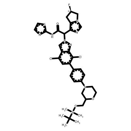 CC(C)(C)[Si](C)(C)OCC1CN(c2ccc(-c3cc(Cl)c4cn(C(C(=O)Nc5nccs5)c5ncn6c5C[C@@H](F)C6)nc4c3Cl)cc2)CCO1